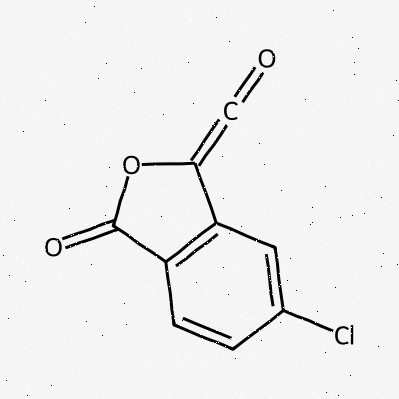 O=C=C1OC(=O)c2ccc(Cl)cc21